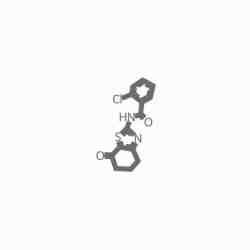 O=C(Nc1nc2c(s1)C(=O)CCC2)c1ccccc1Cl